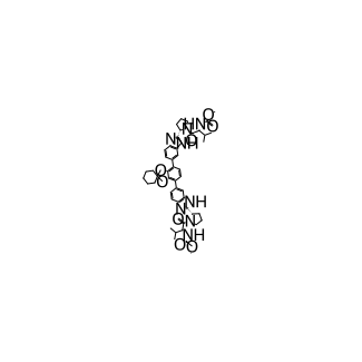 COC(=O)N[C@H](C(=O)N1CCC[C@H]1c1nc2ccc(-c3ccc(-c4ccc5nc([C@@H]6CCCN6C(=O)[C@@H](NC(=O)OC)C(C)C)[nH]c5c4)c4c3OC3(CCCCC3)O4)cc2[nH]1)C(C)C